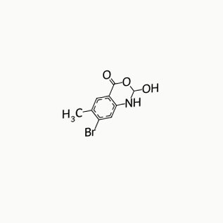 Cc1cc2c(cc1Br)NC(O)OC2=O